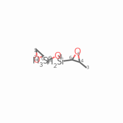 C1CO1.CC1OC1[SiH2]O[SiH3]